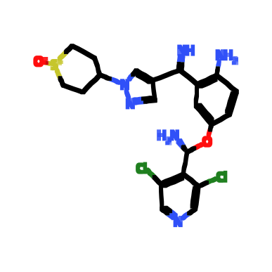 N=C(c1cnn(C2CC[S+]([O-])CC2)c1)c1cc(O[C@H](N)c2c(Cl)cncc2Cl)ccc1N